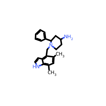 Cc1cc(C)c2[nH]ccc2c1CN1CCC(N)CC1c1ccccc1